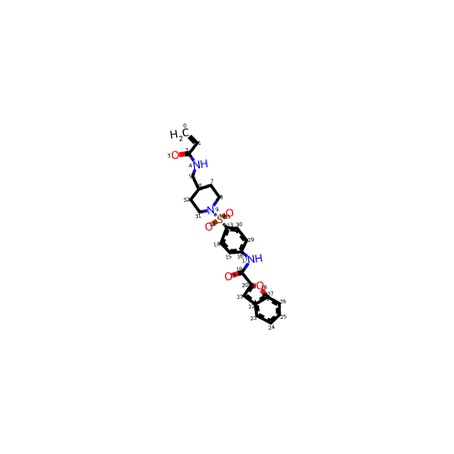 C=CC(=O)NCC1CCN(S(=O)(=O)c2ccc(NC(=O)c3cc4ccccc4o3)cc2)CC1